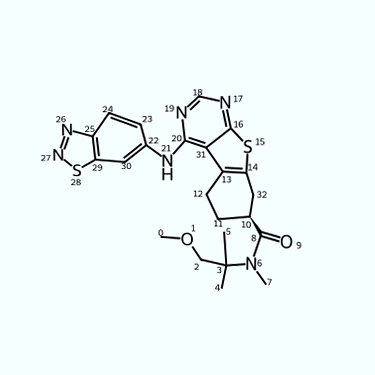 COCC(C)(C)N(C)C(=O)[C@H]1CCc2c(sc3ncnc(Nc4ccc5nnsc5c4)c23)C1